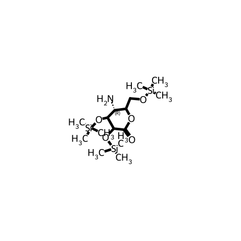 C[Si](C)(C)OCC1OC(=O)C(O[Si](C)(C)C)C(O[Si](C)(C)C)[C@@H]1N